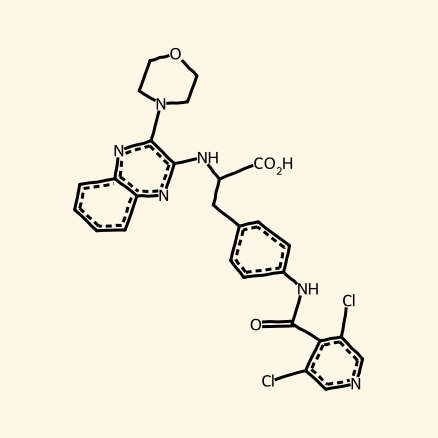 O=C(Nc1ccc(CC(Nc2nc3ccccc3nc2N2CCOCC2)C(=O)O)cc1)c1c(Cl)cncc1Cl